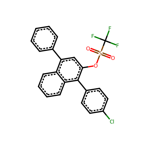 O=S(=O)(Oc1cc(-c2ccccc2)c2ccccc2c1-c1ccc(Cl)cc1)C(F)(F)F